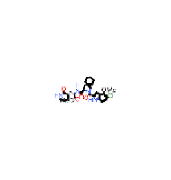 COC(=O)[C@H](C[C@@H]1CCCNC1=O)NC(=O)C1CC2(CCCCC2)CN1C(=O)c1cc2c(OC)c(Cl)ccc2[nH]1